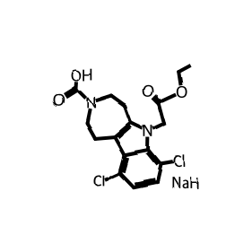 CCOC(=O)Cn1c2c(c3c(Cl)ccc(Cl)c31)CCN(C(=O)O)CC2.[NaH]